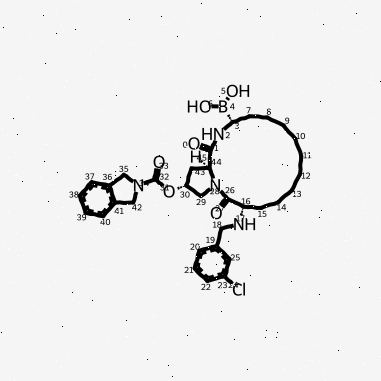 O=C1N[C@H](B(O)O)CCCCCCCCC[C@H](NCc2cccc(Cl)c2)C(=O)N2C[C@H](OC(=O)N3Cc4ccccc4C3)C[C@@H]12